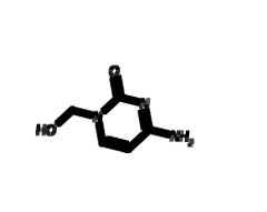 Nc1ccn([CH]O)c(=O)n1